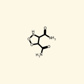 NC(=O)C1BOOC1C(N)=O